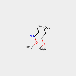 CCCCCCCCCCCCOS(=O)(=O)O.CCCCCCCCCCCCOS(=O)(=O)O.N